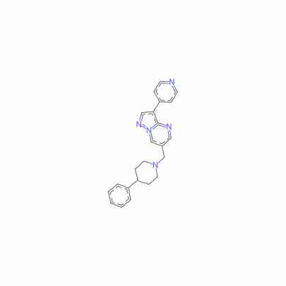 c1ccc(C2CCN(Cc3cnc4c(-c5ccncc5)cnn4c3)CC2)cc1